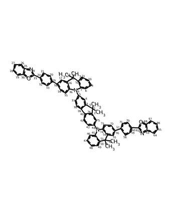 CC1(C)c2cc(N3c4ccccc4C(C)(C)c4cc(-c5ccc(-c6nc7ccccc7o6)cc5)ccc43)ccc2-c2ccc(N3c4ccccc4C(C)(C)c4cc(-c5ccc(-c6nc7ccccc7o6)cc5)ccc43)cc21